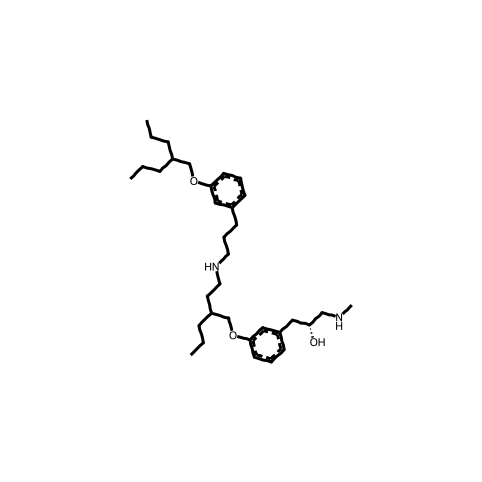 CCCC(CCC)COc1cccc(CCCNCCC(CCC)COc2cccc(C[C@@H](O)CNC)c2)c1